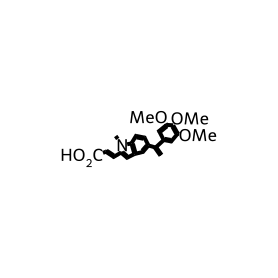 C=C(c1cc(OC)c(OC)c(OC)c1)c1ccc2c(c1)cc(C=CC(=O)O)n2C